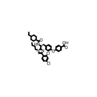 CCCCn1cc(-c2ccc(Cl)cc2Cl)nc1[C@H](Cc1ccc(Oc2ccc(C(=O)O)cc2)cc1)NC(=O)C1CCC(CC)CC1